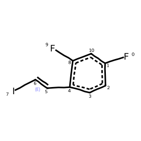 Fc1ccc(/C=C/I)c(F)c1